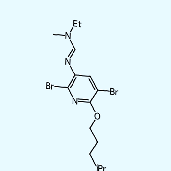 CCN(C)/C=N/c1cc(Br)c(OCCCC(C)C)nc1Br